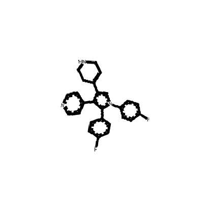 Fc1ccc(-c2c(-c3ccncc3)c(C3=CCNCC3)cn2-c2ccc(F)cc2)cc1